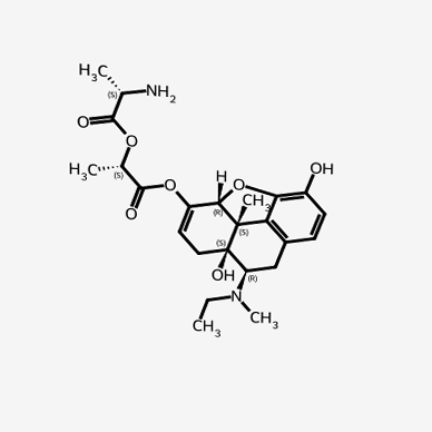 CCN(C)[C@@H]1Cc2ccc(O)c3c2[C@@]2(C)[C@@H](O3)C(OC(=O)[C@H](C)OC(=O)[C@H](C)N)=CC[C@@]12O